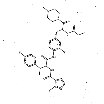 CCC(=O)N[C@H](Cc1ccc(NC(=O)C(NC(=O)c2ccnn2CC)[C@@H](C)c2ccc(F)cc2)c(F)c1)C(=O)N1CCN(C)CC1